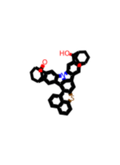 O=C1c2cc3c(cc2C2CCC1CC2)c1c2c(cc4c5cc6c(cc5n3c41)C(O)C1CCC6CC1)sc1cccc3cccc2c31